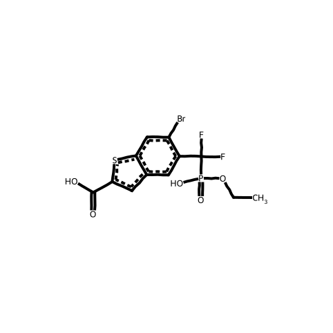 CCOP(=O)(O)C(F)(F)c1cc2cc(C(=O)O)sc2cc1Br